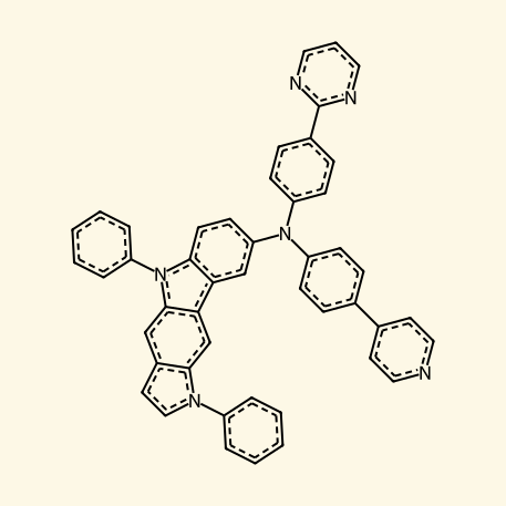 c1ccc(-n2ccc3cc4c(cc32)c2cc(N(c3ccc(-c5ccncc5)cc3)c3ccc(-c5ncccn5)cc3)ccc2n4-c2ccccc2)cc1